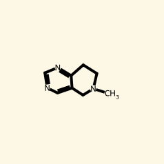 CN1CCc2ncncc2C1